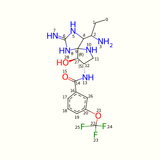 CCC(N)C1NC(=N)NC12NC[C@H](NC(=O)c1cccc(OC(F)(F)F)c1)[C@H]2O